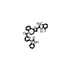 Cc1cccc(F)c1NC(=O)c1cc2c(s1)-c1ccccc1N(C(=O)c1cccc(-n3c(=O)[nH]c4ccccc43)n1)CC2